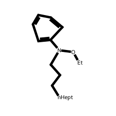 CCCCCCCCCCN(OCC)c1ccccc1